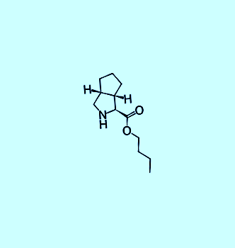 CCCCOC(=O)[C@H]1NC[C@@H]2CCC[C@@H]21